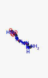 Nc1ccc2[nH]nc(-c3ccnc(N4CCN(CCN5CCC(CN6CCN(c7ccc8c(c7)C(=O)N(C7CCC(=O)NC7=O)C8=O)CC6)CC5)CC4)c3)c2c1